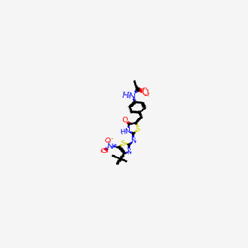 CC(=O)Nc1ccc(C=C2SC(=Nc3nc(C(C)(C)C)c([N+](=O)[O-])s3)NC2=O)cc1